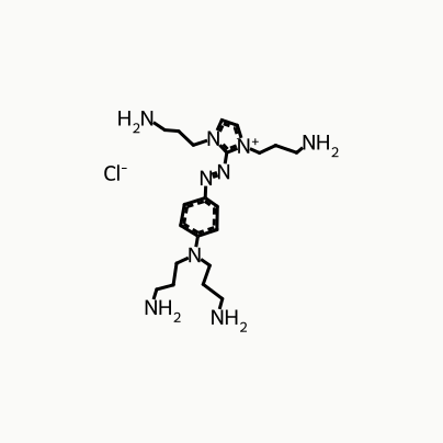 NCCCN(CCCN)c1ccc(N=Nc2n(CCCN)cc[n+]2CCCN)cc1.[Cl-]